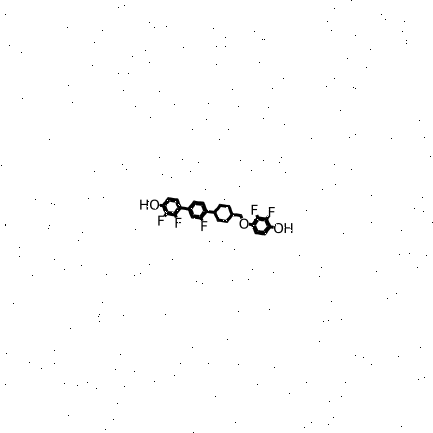 Oc1ccc(OCC2CCC(c3ccc(-c4ccc(O)c(F)c4F)cc3F)CC2)c(F)c1F